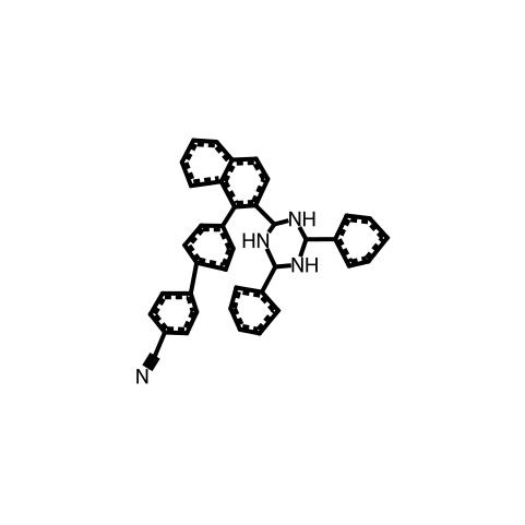 N#Cc1ccc(-c2ccc(-c3c(C4NC(c5ccccc5)NC(c5ccccc5)N4)ccc4ccccc34)cc2)cc1